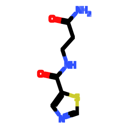 NC(=O)CCNC(=O)c1cncs1